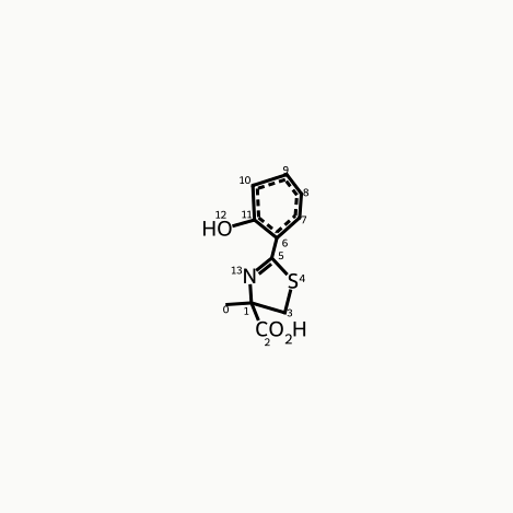 CC1(C(=O)O)CSC(c2ccccc2O)=N1